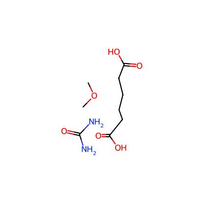 COC.NC(N)=O.O=C(O)CCCCC(=O)O